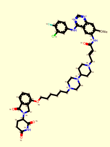 COc1cc2ncnc(Nc3ccc(F)c(Cl)c3)c2cc1NC(=O)/C=C/CN1CCC(N2CCN(CCCCCCOc3cccc4c3CN(C3CCC(=O)NC3=O)C4=O)CC2)CC1